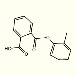 Cc1ccccc1OC(=O)c1ccccc1C(=O)O